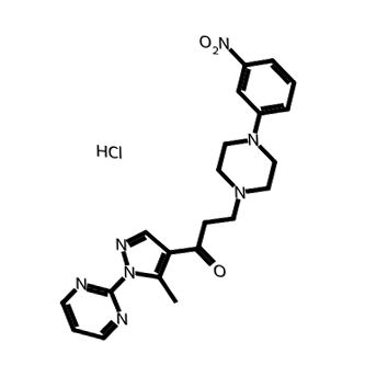 Cc1c(C(=O)CCN2CCN(c3cccc([N+](=O)[O-])c3)CC2)cnn1-c1ncccn1.Cl